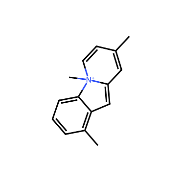 CC1=CC2=Cc3c(C)cccc3[N+]2(C)C=C1